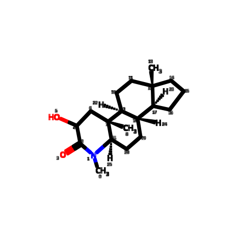 CN1C(=O)C(O)C[C@]2(C)[C@H]3CC[C@]4(C)CCC[C@H]4[C@@H]3CC[C@@H]12